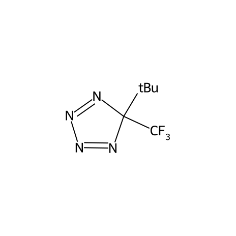 CC(C)(C)C1(C(F)(F)F)N=NN=N1